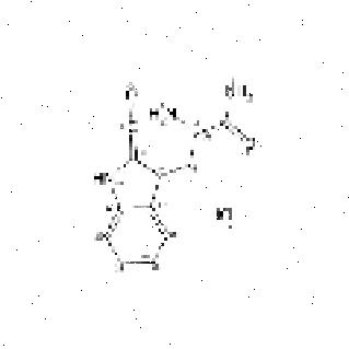 Cl.NC(=O)[C@@H](N)CC1C(=C=O)Nc2ccccc21